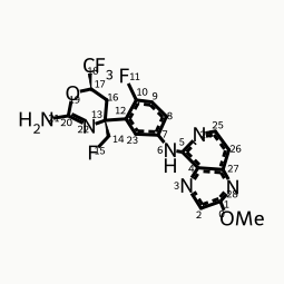 COc1cnc2c(Nc3ccc(F)c([C@@]4(CF)C[C@H](C(F)(F)F)OC(N)=N4)c3)nccc2n1